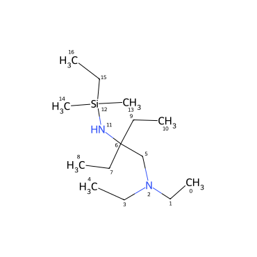 CCN(CC)CC(CC)(CC)N[Si](C)(C)CC